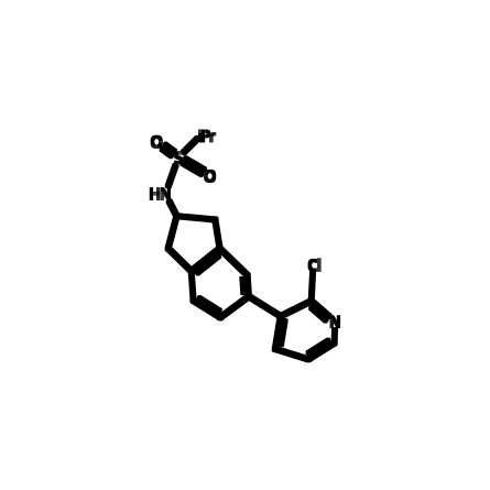 CC(C)S(=O)(=O)NC1Cc2ccc(-c3cccnc3Cl)cc2C1